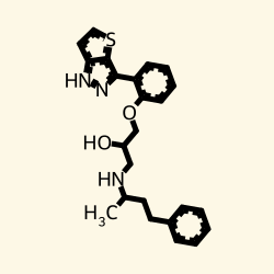 CC(CCc1ccccc1)NCC(O)COc1ccccc1-c1n[nH]c2ccsc12